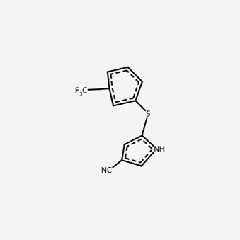 N#Cc1c[nH]c(Sc2cccc(C(F)(F)F)c2)c1